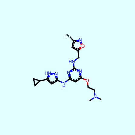 CC(C)c1cc(CNc2nc(Nc3cc(C4CC4)[nH]n3)cc(OCCN(C)C)n2)on1